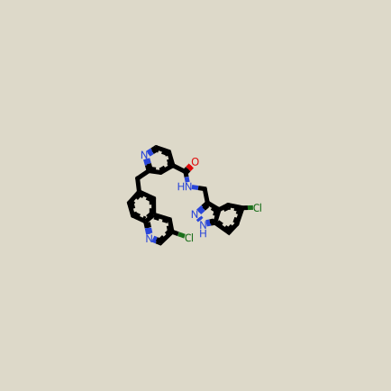 O=C(NCc1n[nH]c2ccc(Cl)cc12)c1ccnc(Cc2ccc3ncc(Cl)cc3c2)c1